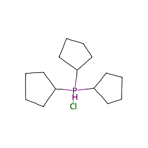 Cl[PH](C1CCCC1)(C1CCCC1)C1CCCC1